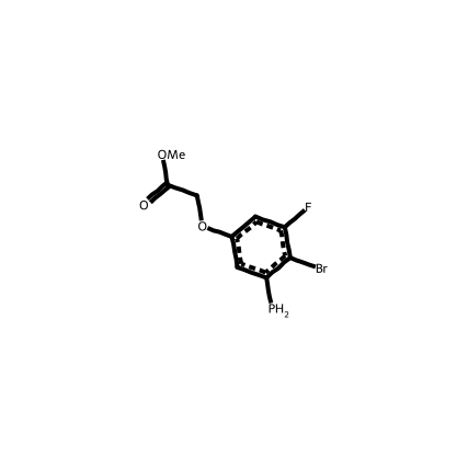 COC(=O)COc1cc(F)c(Br)c(P)c1